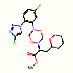 CC(C)(C)OC(=O)C(CC1CCCCO1)N1CON(c2cc(Cl)ccc2-n2cc(Cl)nn2)CO1